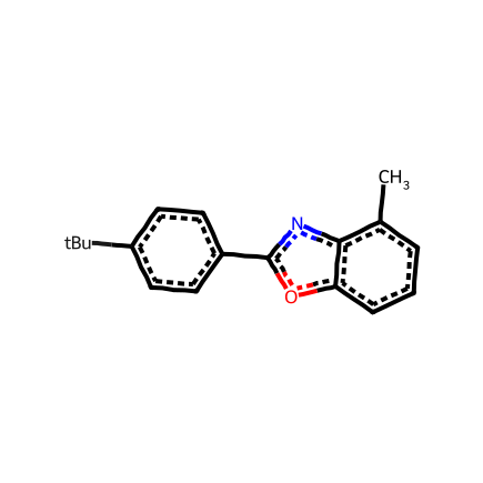 Cc1cccc2oc(-c3ccc(C(C)(C)C)cc3)nc12